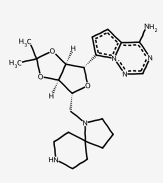 CC1(C)O[C@@H]2[C@H](O1)[C@@H](CN1CCCC13CCNCC3)O[C@H]2c1ccc2c(N)ncnn12